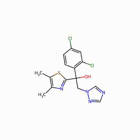 Cc1nc(C(O)(Cn2cncn2)c2ccc(Cl)cc2Cl)sc1C